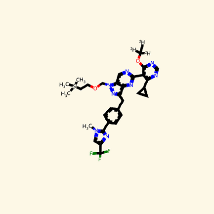 [2H]C([2H])([2H])Oc1ncnc(C2CC2)c1-c1ncc2c(n1)c(Cc1ccc(-c3nc(C(F)(F)F)cn3C)cc1)nn2COCC[Si](C)(C)C